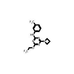 FC(F)(F)COc1nc(Nc2cccc(C(F)(F)F)c2)nc(N2CCC2)n1